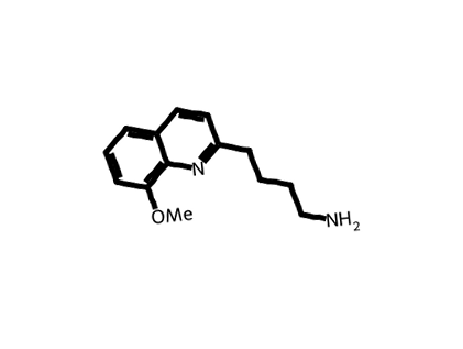 COc1cccc2ccc(CCCCN)nc12